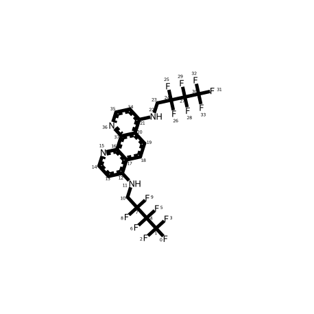 FC(F)(F)C(F)(F)C(F)(F)CNc1ccnc2c1ccc1c(NCC(F)(F)C(F)(F)C(F)(F)F)ccnc12